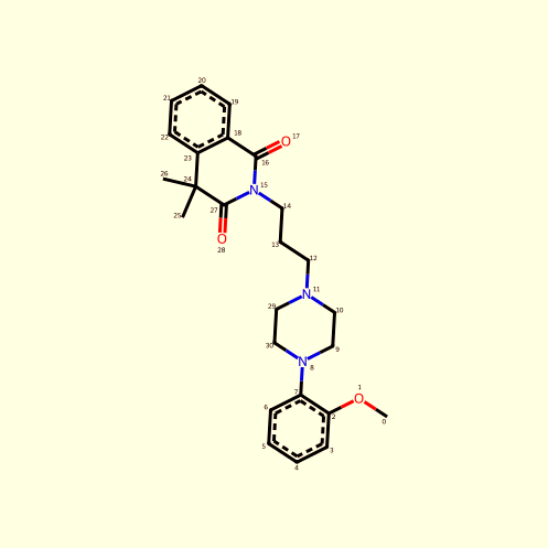 COc1ccccc1N1CCN(CCCN2C(=O)c3ccccc3C(C)(C)C2=O)CC1